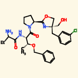 CCC(N)C(=O)N[C@H](C(=O)N1CCC[C@H]1C1=N[C@](CO)(Cc2cccc(Cl)c2)CO1)[C@@H](C)OCc1ccccc1